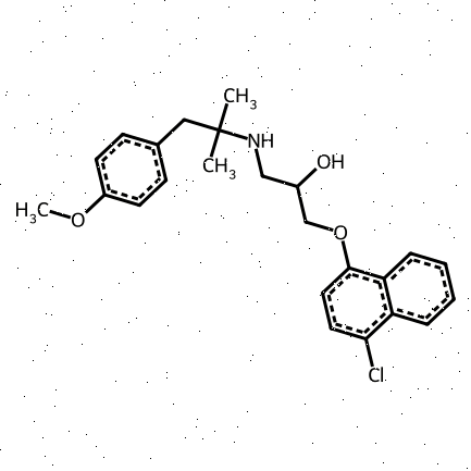 COc1ccc(CC(C)(C)NCC(O)COc2ccc(Cl)c3ccccc23)cc1